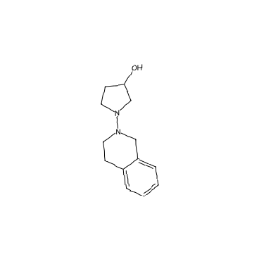 OC1CCN(N2CCc3ccccc3C2)C1